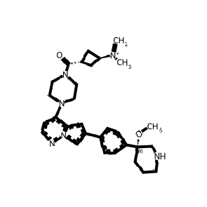 C=[N+](C)[C@H]1C[C@H](C(=O)N2CCN(c3ccnn4cc(-c5ccc([C@]6(OC)CCCNC6)cc5)cc34)CC2)C1